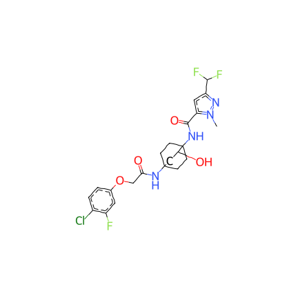 Cn1nc(C(F)F)cc1C(=O)NC12CCC(NC(=O)COc3ccc(Cl)c(F)c3)(CC1)CC2O